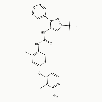 Cc1c(Oc2ccc(NC(=O)Nc3cc(C(C)(C)C)nn3-c3ccccc3)c(F)c2)ccnc1N